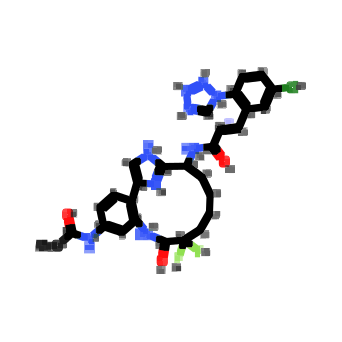 COC(=O)Nc1ccc2c(c1)NC(=O)C(F)(F)CCCCC(NC(=O)/C=C/c1cc(Cl)ccc1-n1cnnn1)c1nc-2c[nH]1